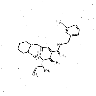 C=C/C(N)=C(\C)C(=C)/C(=C\NCC1CCCCN1C)C(=C)NCc1cccc(C)c1